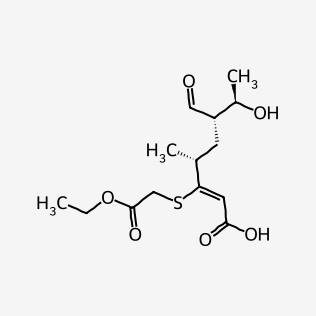 CCOC(=O)CS/C(=C\C(=O)O)[C@H](C)C[C@H](C=O)[C@@H](C)O